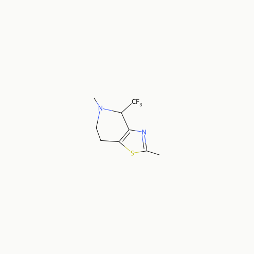 Cc1nc2c(s1)CCN(C)C2C(F)(F)F